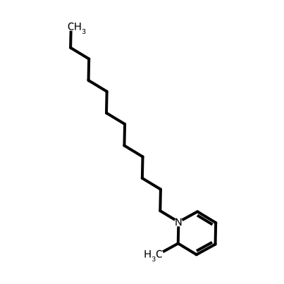 CCCCCCCCCCCCN1C=CC=CC1C